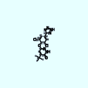 CC(C)(C)c1cc(Oc2c(Cl)cc(-c3nn[nH]n3)cc2Cl)n[nH]c1=O